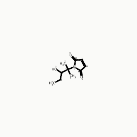 CCC(O)C(C)(C)N1C(=O)C=CC1=O